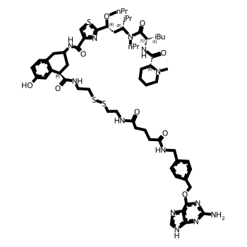 CCCO[C@H](C[C@H](C(C)C)N(CCC)C(=O)[C@@H](NC(=O)[C@H]1CCCCN1C)[C@@H](C)CC)c1nc(C(=O)NC2Cc3ccc(O)cc3[C@H](C(=O)NCCSSCCNC(=O)CCCC(=O)NCc3ccc(COc4nc(N)nc5[nH]cnc45)cc3)C2)cs1